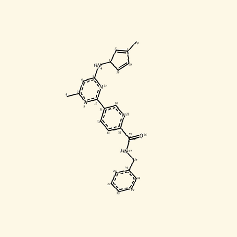 CC1=CC(Nc2cc(C)nc(-c3ccc(C(=O)NCc4ccccc4)nc3)n2)C=C1